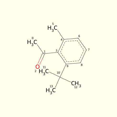 CC(=O)c1c(C)cccc1C(C)(C)C